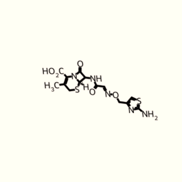 CC1=C(C(=O)O)N2C(=O)C(NC(=O)C=NOCc3csc(N)n3)[C@@H]2SC1